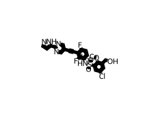 COc1c(CO)cc(Cl)cc1S(=O)(=O)Nc1ccc(F)c(C#Cc2cnc(-c3ccn[nH]3)nc2)c1F